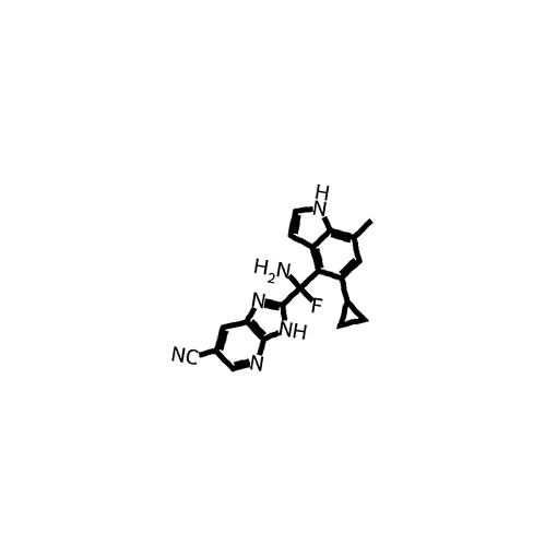 Cc1cc(C2CC2)c(C(N)(F)c2nc3cc(C#N)cnc3[nH]2)c2cc[nH]c12